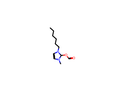 CCCCCCN1C=CN(C)C1OC=O